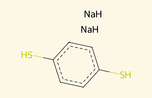 Sc1ccc(S)cc1.[NaH].[NaH]